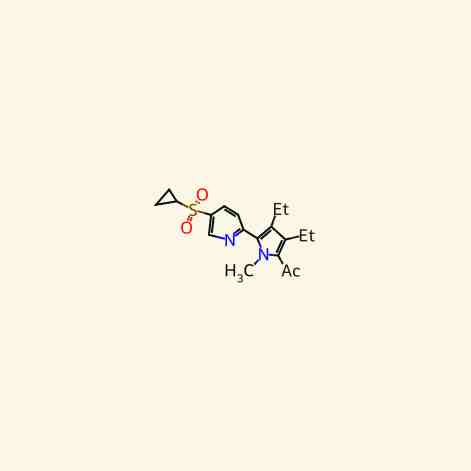 CCc1c(CC)c(-c2ccc(S(=O)(=O)C3CC3)cn2)n(C)c1C(C)=O